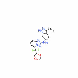 Cc1n[nH]c2cc(Nc3nc4cccc(C(F)(F)C5COCCO5)n4n3)ccc12